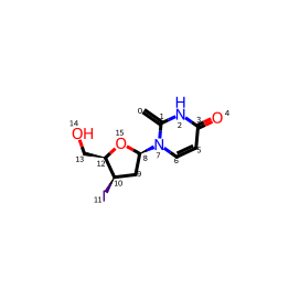 C=C1NC(=O)C=CN1[C@H]1C[C@@H](I)[C@@H](CO)O1